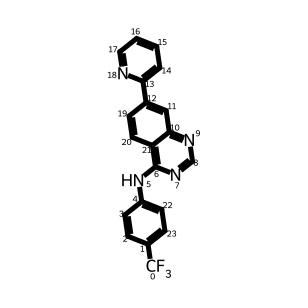 FC(F)(F)c1ccc(Nc2ncnc3cc(-c4ccccn4)ccc23)cc1